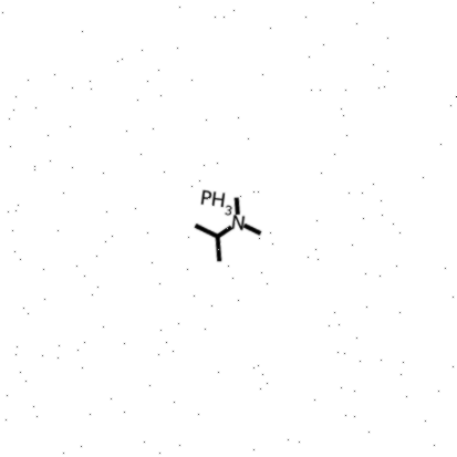 CC(C)N(C)C.P